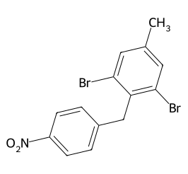 Cc1cc(Br)c(Cc2ccc([N+](=O)[O-])cc2)c(Br)c1